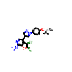 CC(C)(C)[Si](C)(C)OC1CCC(n2cc(-c3cnc(N)c4oc(Cl)c(Cl)c34)cn2)CC1